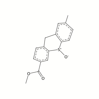 COC(=O)c1ccc2c(c1)[S+]([O-])c1ccc(C)cc1C2